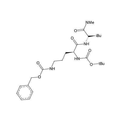 CC[C@H](C)[C@H](NC(=O)[C@H](CCCNC(=O)OCc1ccccc1)NC(=O)OC(C)(C)C)C(=O)NC